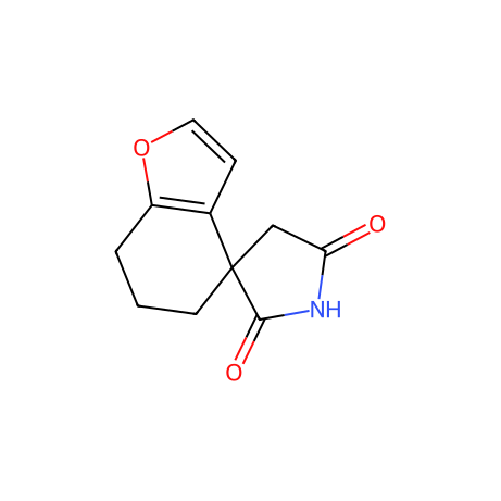 O=C1CC2(CCCc3occc32)C(=O)N1